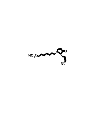 CC/C=C\C[C@H]1C(=O)C=C[C@H]1CCCCCCCC(=O)O